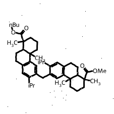 CCCCOC(=O)C1(C)CCCC2(C)c3cc(Cc4cc5c(cc4C(C)C)CCC4C(C)(C(=O)OC)CCCC54C)c(C(C)C)cc3CCC12